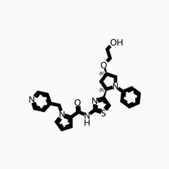 O=C(Nc1nc([C@H]2C[C@@H](OCCO)CN2c2ccccc2)cs1)c1cccn1Cc1ccncc1